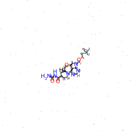 C[Si](C)(C)CCOCn1cc2c3c(ncnc31)N1CCC(C(=O)NC(N)=O)C[C@H]1CO2